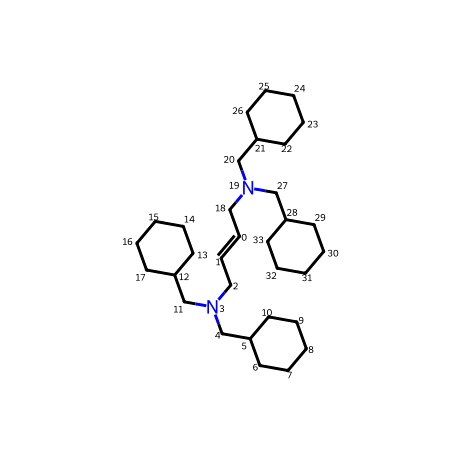 C(=C\CN(CC1CCCCC1)CC1CCCCC1)/CN(CC1CCCCC1)CC1CCCCC1